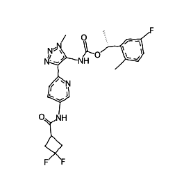 Cc1ccc(F)cc1[C@@H](C)OC(=O)Nc1c(-c2ccc(NC(=O)C3CC(F)(F)C3)cn2)nnn1C